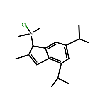 CC1=Cc2c(C(C)C)cc(C(C)C)cc2C1[Si](C)(C)Cl